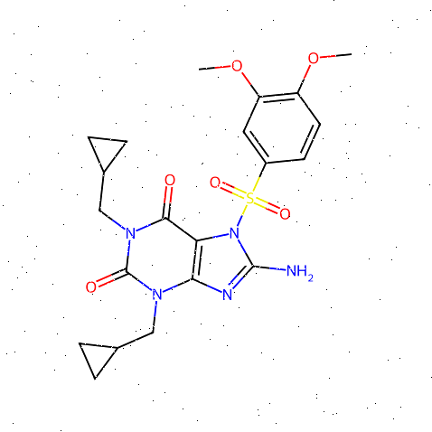 COc1ccc(S(=O)(=O)n2c(N)nc3c2c(=O)n(CC2CC2)c(=O)n3CC2CC2)cc1OC